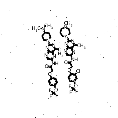 Cc1nc(N2CCC(N(C)C)CC2)nc2ncc(NC(=O)COc3ccc(OC(F)(F)F)cc3)nc12.Cc1nc(N2CCCN(C)CC2)nc2ncc(NC(=O)COc3ccc(OC(F)(F)F)cc3Cl)nc12